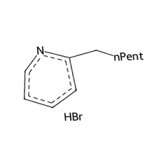 Br.CCCCCCc1ccccn1